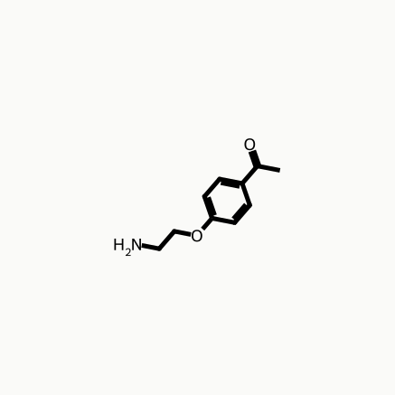 CC(=O)c1ccc(OCCN)cc1